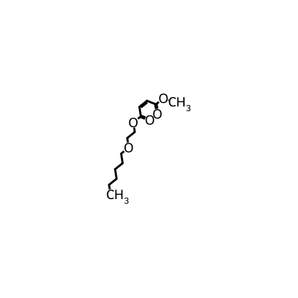 CCCCCCOCCOC(=O)/C=C\C(=O)OC